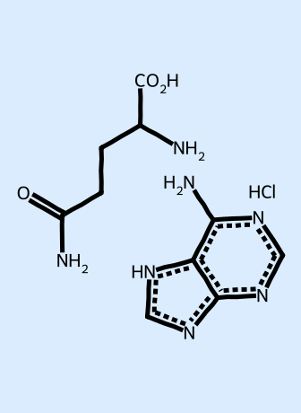 Cl.NC(=O)CCC(N)C(=O)O.Nc1ncnc2nc[nH]c12